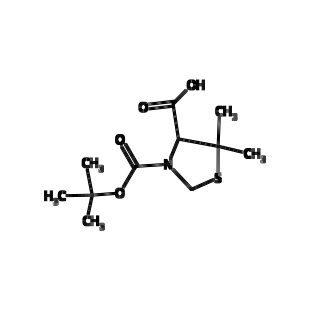 CC(C)(C)OC(=O)N1CSC(C)(C)C1C(=O)O